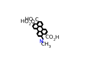 CN=Cc1ccc2c3ccc(C(=O)O)c4c(C(=O)O)ccc(c5ccc(C(=O)O)c1c25)c43